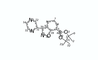 CC1(C)OB(c2cccc3c(-c4cnccn4)noc23)OC1(C)C